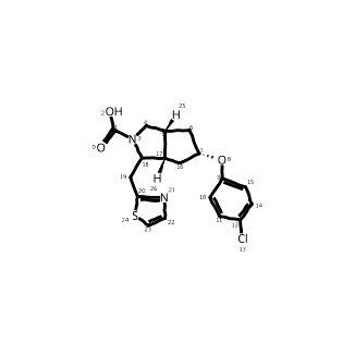 O=C(O)N1C[C@@H]2C[C@H](Oc3ccc(Cl)cc3)C[C@@H]2C1Cc1nccs1